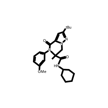 COc1cccc(N2C(=O)c3cc(C(C)(C)C)nn3CC2(C)C(=O)NC2CCCCC2)c1